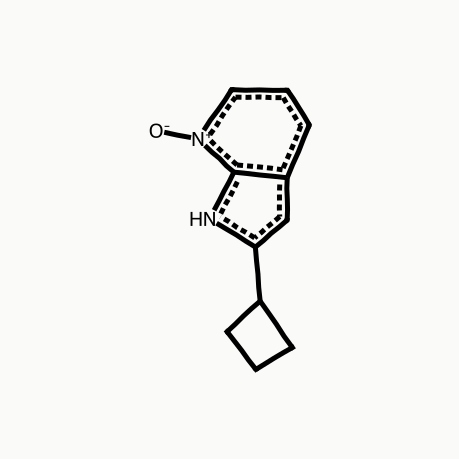 [O-][n+]1cccc2cc(C3CCC3)[nH]c21